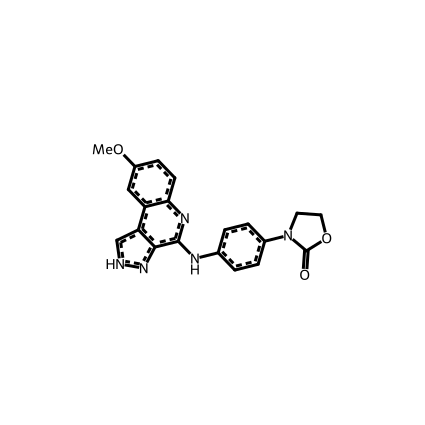 COc1ccc2nc(Nc3ccc(N4CCOC4=O)cc3)c3n[nH]cc3c2c1